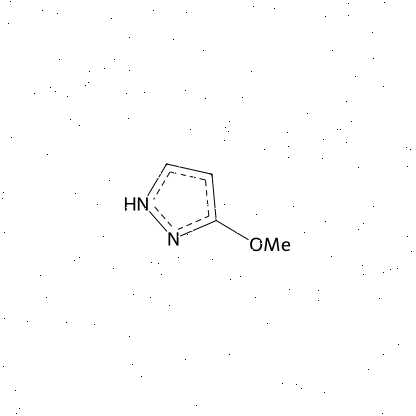 [CH]Oc1cc[nH]n1